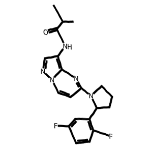 CC(C)C(=O)Nc1cnn2ccc(N3CCCC3c3cc(F)ccc3F)nc12